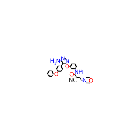 N#C/C(=C\CN1CCOCC1)C(=O)Nc1cccc(Oc2ncnc(N)c2-c2ccc(Oc3ccccc3)cc2)c1